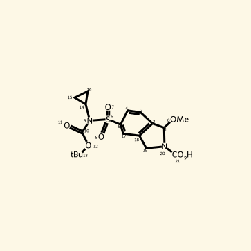 COC1c2ccc(S(=O)(=O)N(C(=O)OC(C)(C)C)C3CC3)cc2CN1C(=O)O